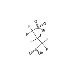 O=S(=O)(Br)C(F)(F)C(F)(F)C(F)(F)S(=O)(=O)Br